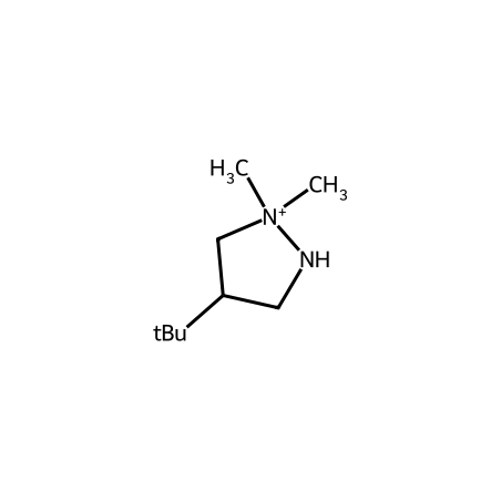 CC(C)(C)C1CN[N+](C)(C)C1